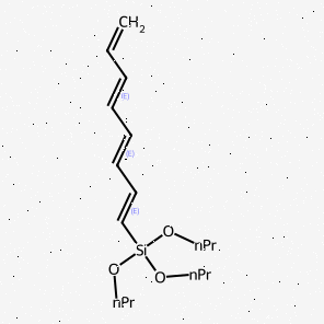 C=C/C=C/C=C/C=C/[Si](OCCC)(OCCC)OCCC